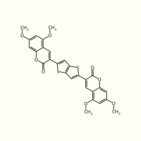 COc1cc(OC)c2cc(-c3cc4sc(-c5cc6c(OC)cc(OC)cc6oc5=O)cc4s3)c(=O)oc2c1